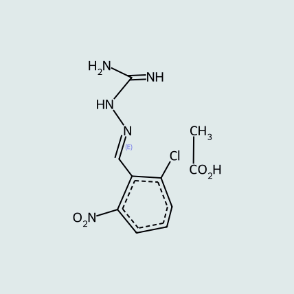 CC(=O)O.N=C(N)N/N=C/c1c(Cl)cccc1[N+](=O)[O-]